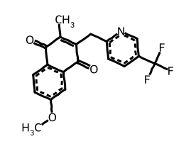 COc1ccc2c(c1)C(=O)C(Cc1ccc(C(F)(F)F)cn1)=C(C)C2=O